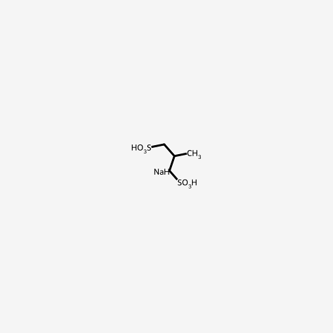 CC(CS(=O)(=O)O)CS(=O)(=O)O.[NaH]